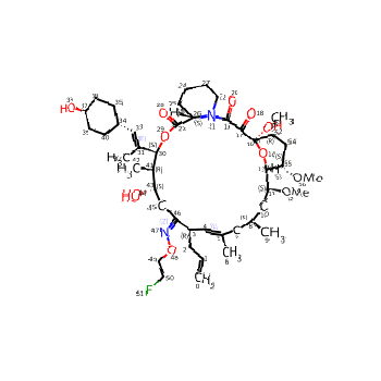 C=CC[C@@H]1/C=C(\C)C[C@H](C)C[C@H](OC)[C@H]2O[C@@](O)(C(=O)C(=O)N3CCCC[C@H]3C(=O)O[C@H](/C(C)=C/[C@H]3CC[C@H](O)CC3)[C@H](C)[C@@H](O)C/C1=N/OCCF)[C@H](C)C[C@@H]2OC